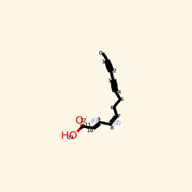 CC#CC#CCC/C=C\C=C\C(=O)O